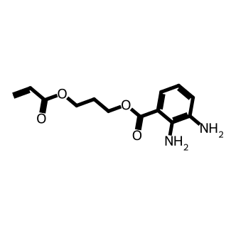 C=CC(=O)OCCCOC(=O)c1cccc(N)c1N